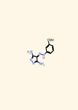 COc1cccc(NN=C2C(N)=NN=C2N)c1